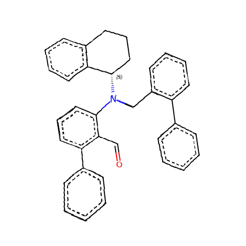 O=Cc1c(-c2ccccc2)cccc1N(Cc1ccccc1-c1ccccc1)[C@H]1CCCc2ccccc21